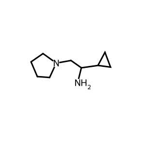 NC(CN1CCCC1)C1CC1